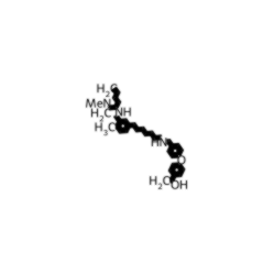 C=CCCC(NCc1cc(CCCCCCCNCc2ccc(Oc3ccc(C(=C)O)cc3)cc2)ccc1C)C(=C)NC